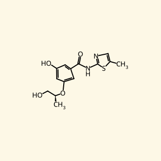 Cc1cnc(NC(=O)c2cc(O)cc(O[C@@H](C)CO)c2)s1